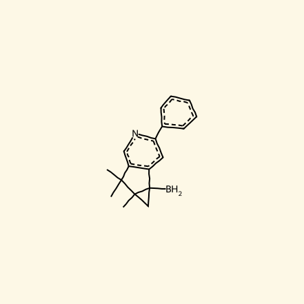 BC12CC1(C)C(C)(C)c1cnc(-c3ccccc3)cc12